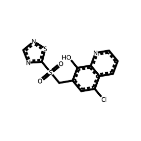 O=S(=O)(Cc1cc(Cl)c2cccnc2c1O)c1ncns1